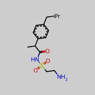 CC(C)Cc1ccc(C(C)C(=O)NS(=O)(=O)CCN)cc1